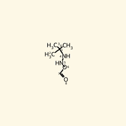 CC(C)(C)NNOC=O